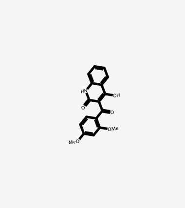 COc1ccc(C(=O)c2c(O)c3ccccc3[nH]c2=O)c(OC)c1